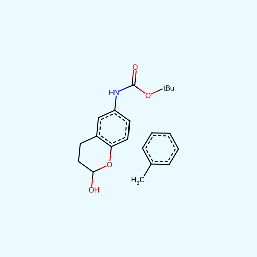 CC(C)(C)OC(=O)Nc1ccc2c(c1)CCC(O)O2.Cc1ccccc1